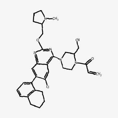 C=CC(=O)N1CCN(c2nc(OCC3CCCN3C)nc3cc(-c4cccc5c4CCCC5)c(Cl)cc23)CC1CC#N